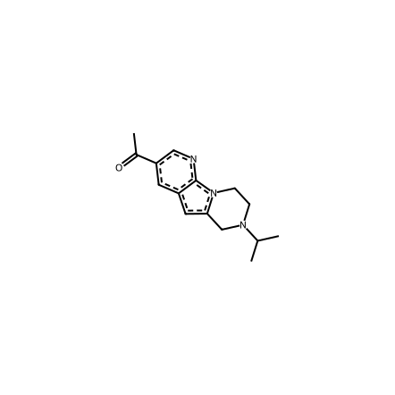 CC(=O)c1cnc2c(c1)cc1n2CCN(C(C)C)C1